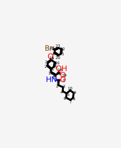 O=C(CCCC1CCCCC1)NC(=Cc1ccc(Oc2ccccc2Br)cc1)C(=O)O